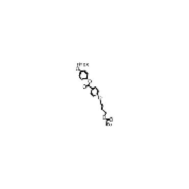 CCCCCCOc1ccc(OC(=O)c2ccc(OCCCCOC(=O)C(C)CC)cc2)cc1